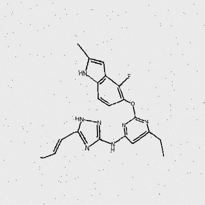 C/C=C/c1nc(Nc2cc(CC)nc(Oc3ccc4[nH]c(C)cc4c3F)n2)n[nH]1